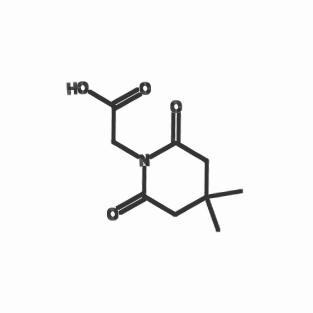 CC1(C)CC(=O)N(CC(=O)O)C(=O)C1